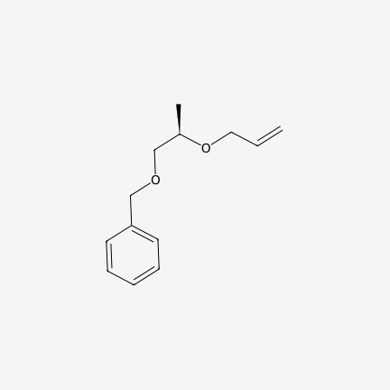 C=CCO[C@H](C)COCc1ccccc1